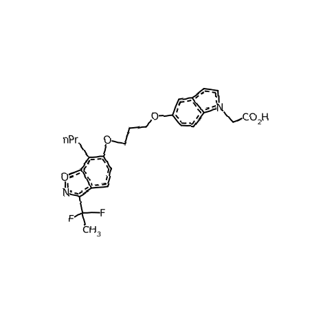 CCCc1c(OCCCOc2ccc3c(ccn3CC(=O)O)c2)ccc2c(C(C)(F)F)noc12